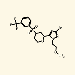 COCCn1nc(Br)cc1C1CC(S(=O)(=O)c2cccc(C(F)(F)F)c2)CCO1